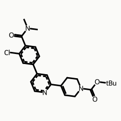 CN(C)C(=O)c1ccc(-c2ccnc(C3=CCN(C(=O)OC(C)(C)C)CC3)c2)cc1Cl